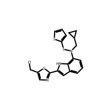 ClCc1cnc(-c2cc3cccc(N(CC4CC4)Sc4cccs4)c3[nH]2)s1